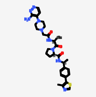 Cc1ncsc1-c1ccc([C@H](C)NC(=O)[C@@H]2CCCN2C(=O)[C@@H](NC(=O)CN2CCN(c3ccnnc3N)CC2)C(C)(C)C)cc1